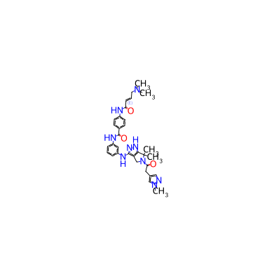 CN(C)C/C=C/C(=O)Nc1ccc(C(=O)Nc2cccc(Nc3n[nH]c4c3CN(C(=O)Cc3cnn(C)c3)C4(C)C)c2)cc1